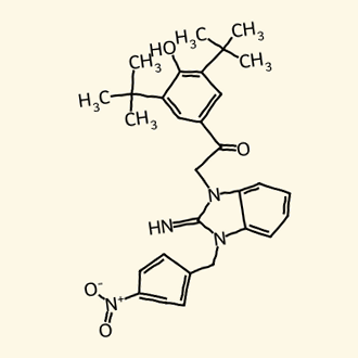 CC(C)(C)c1cc(C(=O)Cn2c(=N)n(Cc3ccc([N+](=O)[O-])cc3)c3ccccc32)cc(C(C)(C)C)c1O